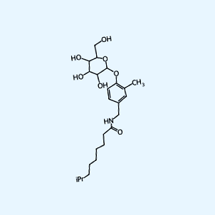 Cc1cc(CNC(=O)CCCCCCC(C)C)ccc1OC1OC(CO)C(O)C(O)C1O